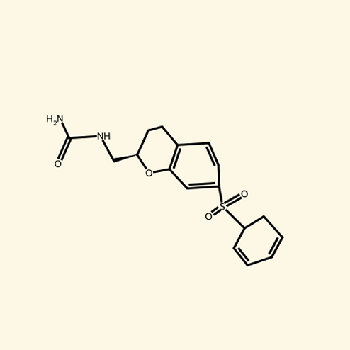 NC(=O)NC[C@H]1CCc2ccc(S(=O)(=O)C3C=CC=CC3)cc2O1